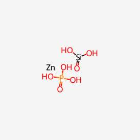 O=P(O)(O)O.O=[Si](O)O.[Zn]